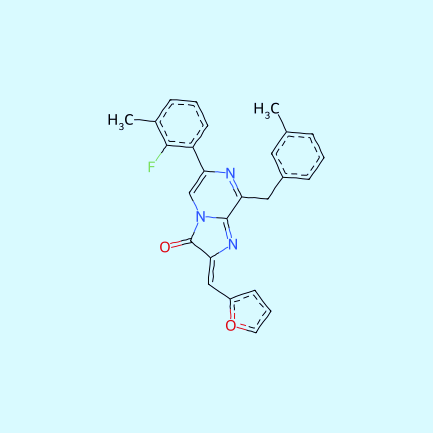 Cc1cccc(CC2=NC(c3cccc(C)c3F)=CN3C(=O)/C(=C/c4ccco4)N=C23)c1